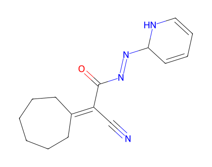 N#CC(C(=O)N=NC1C=CC=CN1)=C1CCCCCC1